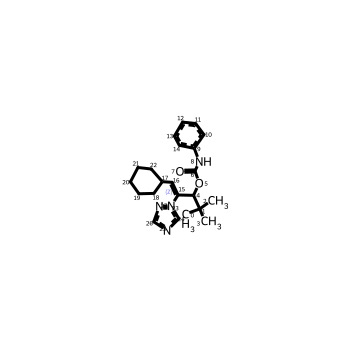 CC(C)(C)C(OC(=O)Nc1ccccc1)/C(=C/C1CCCCC1)n1cncn1